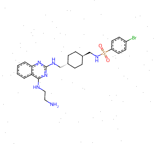 NCCNc1nc(NC[C@H]2CC[C@H](CNS(=O)(=O)c3ccc(Br)cc3)CC2)nc2ccccc12